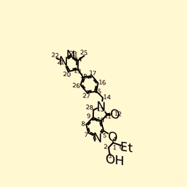 CCC(CO)Oc1nccc2c1C(=O)N(Cc1ccc(-c3cn(C)nc3C)cc1)C2